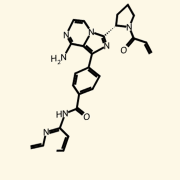 C=C/N=C(\C=C/C)NC(=O)c1ccc(-c2nc([C@@H]3CCCN3C(=O)C=C)n3ccnc(N)c23)cc1